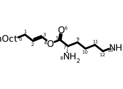 CCCCCCCCCC=COC(=O)[C@@H](N)CCCCN